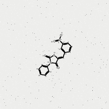 O=C1C(=Cc2cccc([N+](=O)[O-])c2)SC(=S)N1c1ccccc1